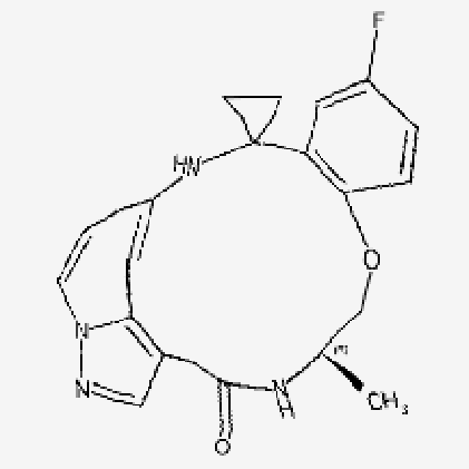 C[C@@H]1COc2ccc(F)cc2C2(CC2)Nc2ccn3ncc(c3c2)C(=O)N1